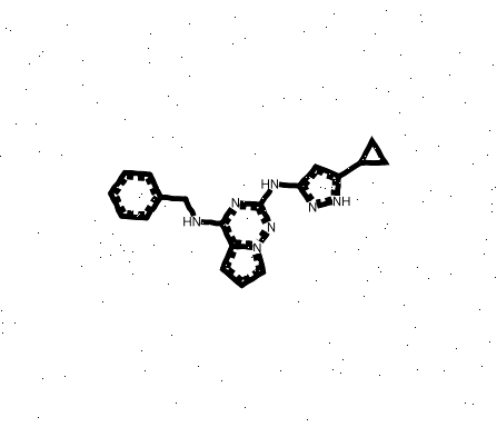 c1ccc(CNc2nc(Nc3cc(C4CC4)[nH]n3)nn3cccc23)cc1